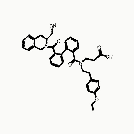 CCOc1ccc(CCN(CCC(=O)O)C(=O)c2ccccc2-c2ccccc2C(=O)N2Cc3ccccc3C[C@H]2CO)cc1